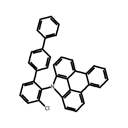 Clc1cccc(-c2ccc(-c3ccccc3)cc2)c1-n1c2cccc3c4ccccc4c4cccc1c4c32